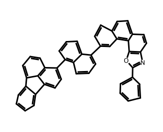 c1ccc(-c2nc3ccc4ccc5ccc(-c6cccc7c(-c8ccc9c%10c(cccc8%10)-c8ccccc8-9)cccc67)cc5c4c3o2)cc1